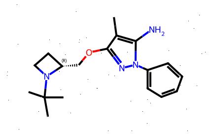 Cc1c(OC[C@H]2CCN2C(C)(C)C)nn(-c2ccccc2)c1N